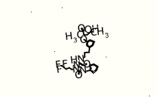 CCCC(C)(Oc1cccc(CCCNc2nn(CCCC(F)(F)F)c(=O)n(Cc3ccccc3)c2=O)c1)C(=O)O